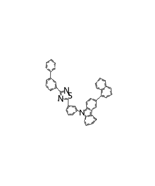 c1ccc(-c2cccc(-c3nsc(-c4cccc(-n5c6ccccc6c6cc(-c7cccc8ccccc78)ccc65)c4)n3)c2)cc1